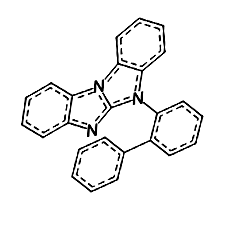 c1ccc(-c2ccccc2-n2c3ccccc3n3c4ccccc4nc23)cc1